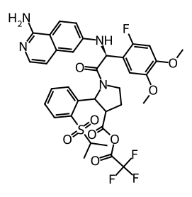 COc1cc(F)c([C@H](Nc2ccc3c(N)nccc3c2)C(=O)N2CCC(C(=O)OC(=O)C(F)(F)F)C2c2ccccc2S(=O)(=O)C(C)C)cc1OC